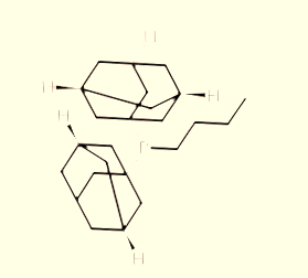 CCCCP([C@]12CC3C[C@H](C[C@H](C3)C1)C2)[C@]12C[C@H]3C[C@H](C[C@H](C3)C1)C2